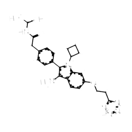 CC(C)NC(=O)Cc1ccc(-c2c(N)c3ccc(OCCc4nn[nH]n4)cc3n2C2CCC2)cc1